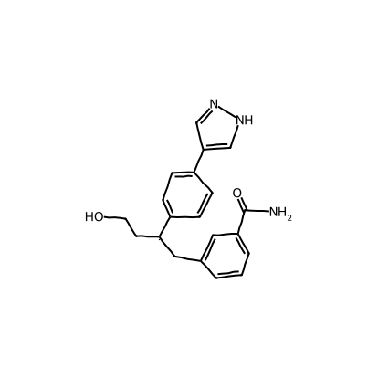 NC(=O)c1cccc(C[C](CCO)c2ccc(-c3cn[nH]c3)cc2)c1